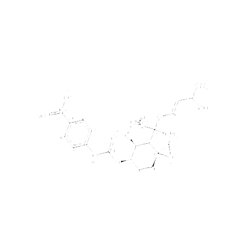 CO[C@H]1C(C(C)(C)O/C=C/C(C)C)[C@]2(CC[C@H]1OC(=O)Oc1ccc([N+](=O)[O-])cc1)CO2